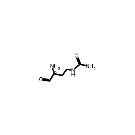 NC(=O)NCC[C@H](N)C=O